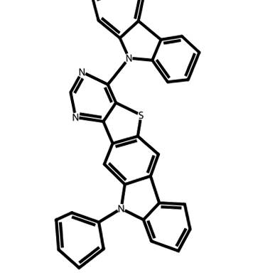 c1ccc(-n2c3ccccc3c3cc4sc5c(-n6c7ccccc7c7ccccc76)ncnc5c4cc32)cc1